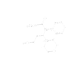 CCCCCCCCCC(=O)N(c1ccccc1)C(CCO)N1CCOCC1